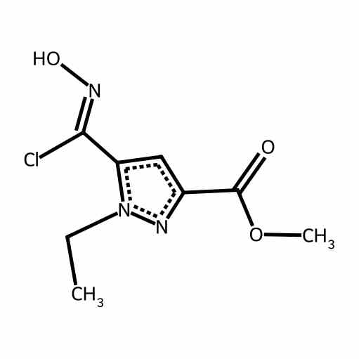 CCn1nc(C(=O)OC)cc1C(Cl)=NO